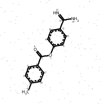 Cc1ccc(C(=O)Oc2ccc(C(=N)N)cc2)cc1